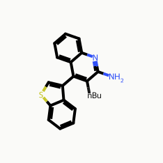 CCCCc1c(N)nc2ccccc2c1-c1csc2ccccc12